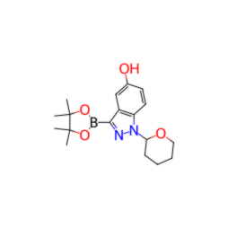 CC1(C)OB(c2nn(C3CCCCO3)c3ccc(O)cc23)OC1(C)C